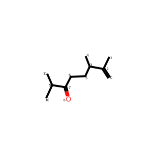 C=C(C)C(C)CCC(=O)C(C)C